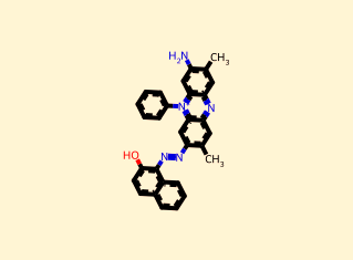 Cc1cc2nc3cc(C)c(N=Nc4c(O)ccc5ccccc45)cc3[n+](-c3ccccc3)c2cc1N